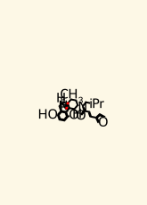 CC(C)CN(C(=O)/C=C/c1ccoc1)[C@H]1CC[C@H]2[C@H]3Cc4c(O)ccc5c4[C@@]2(CCN3C)[C@H]1O5